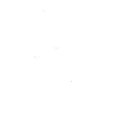 CC(C)(C)[Si](OCCNc1cc(C#N)c(F)cc1N)(c1ccccc1)c1ccccc1